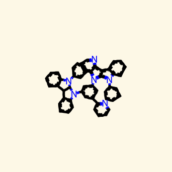 c1ccc(N2c3ccccc3C3c4ccccc4N(c4cc(-c5ccccn5)cc(-n5c6cccnc6c6c7ccccc7n(-c7ccccc7)c65)c4)C32)cc1